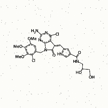 COc1cc(CN2C(=O)C(=Cc3cc(C(=O)NC[C@H](O)CO)c[nH]3)c3c(Cl)nc(N)nc32)c(Cl)c(OC)c1OC